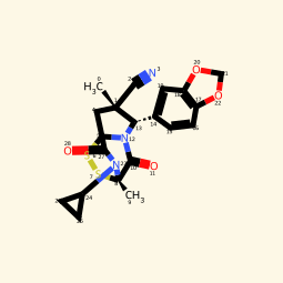 C[C@]1(C#N)CC23SS[C@@](C)(C(=O)N2[C@H]1c1ccc2c(c1)OCO2)N(C1CC1)C3=O